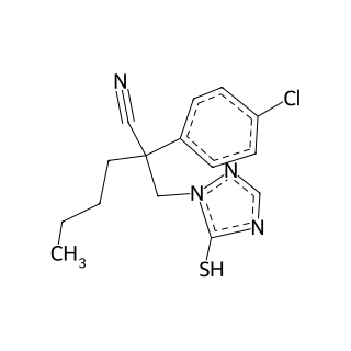 CCCCC(C#N)(Cn1ncnc1S)c1ccc(Cl)cc1